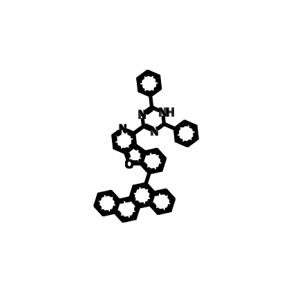 c1ccc(C2=NC(c3nccc4oc5c(-c6cc7c8ccccc8ccc7c7ccccc67)cccc5c34)=NC(c3ccccc3)N2)cc1